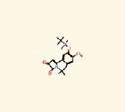 COc1cc2c(cc1O[Si](C)(C)C(C)(C)C)C1=CC(=O)C(=O)N1C(C)(C)C2